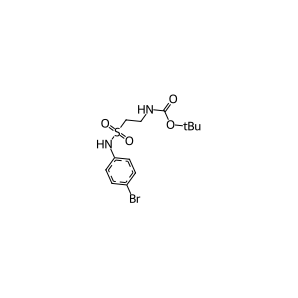 CC(C)(C)OC(=O)NCCS(=O)(=O)Nc1ccc(Br)cc1